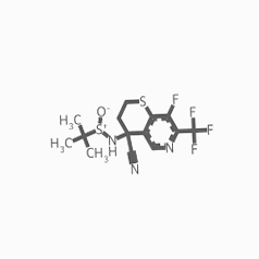 CC(C)(C)[S+]([O-])NC1(C#N)CCSc2c1cnc(C(F)(F)F)c2F